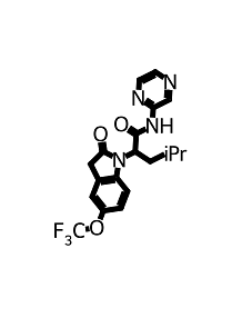 CC(C)CC(C(=O)Nc1cnccn1)N1C(=O)Cc2cc(OC(F)(F)F)ccc21